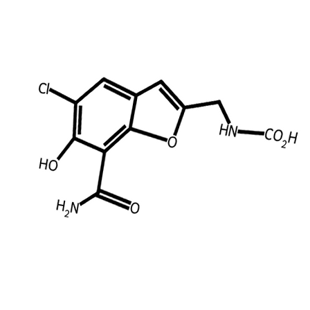 NC(=O)c1c(O)c(Cl)cc2cc(CNC(=O)O)oc12